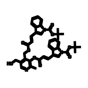 Cc1ncc(CO)c(COC(=O)/C=C/c2cn(C(=O)OC(C)(C)C)c3ccccc23)c1OC(=O)/C=C/c1cn(C(=O)OC(C)(C)C)c2ccccc12